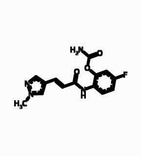 Cn1cc(/C=C/C(=O)Nc2ccc(F)cc2OC(N)=O)cn1